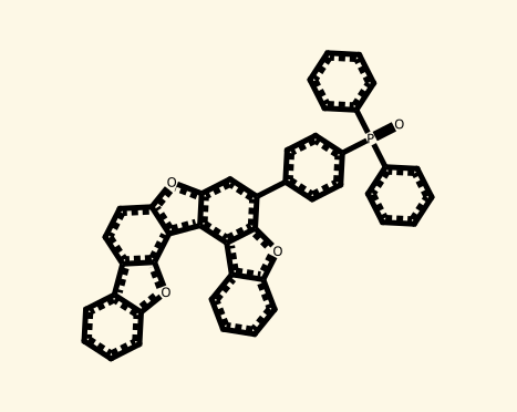 O=P(c1ccccc1)(c1ccccc1)c1ccc(-c2cc3oc4ccc5c6ccccc6oc5c4c3c3c2oc2ccccc23)cc1